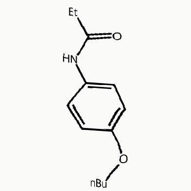 CCCCOc1ccc(NC(=O)CC)cc1